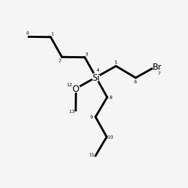 CCCC[Si](CCBr)(CCCC)OC